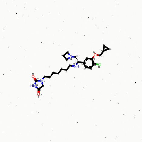 O=C1CN(CCCCCCCN[C@H](CN2CCC2)c2ccc(Cl)c(OCC3CC3)c2)C(=O)N1